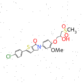 COc1cc(N2Cc3cc(-c4ccc(Cl)cc4)sc3C2=O)ccc1OC[C@H](O)CS(C)(=O)=O